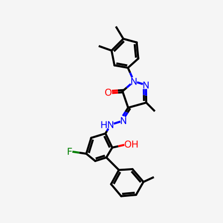 CC1=NN(c2ccc(C)c(C)c2)C(=O)/C1=N\Nc1cc(F)cc(-c2cccc(C)c2)c1O